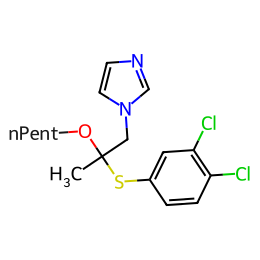 CCCCCOC(C)(Cn1ccnc1)Sc1ccc(Cl)c(Cl)c1